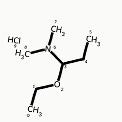 CCOC(CC)N(C)C.Cl